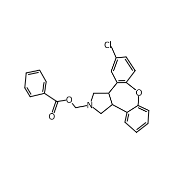 O=C(OCN1CC2c3ccccc3Oc3ccc(Cl)cc3C2C1)c1ccccc1